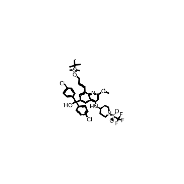 COc1cc(NC2CCN(S(=O)(=O)C(F)(F)F)CC2)c2cc(C(O)(c3ccc(Cl)cc3)c3ccc(Cl)cc3)cc(/C=C/CO[Si](C)(C)C(C)(C)C)c2n1